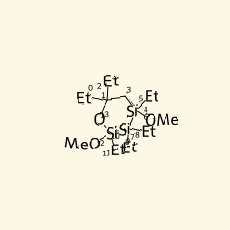 CCC1(CC)C[Si](CC)(OC)[Si](CC)(CC)[Si](CC)(OC)O1